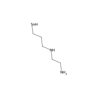 NCCNCC[CH2][SnH]